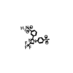 CS(=O)(=O)c1ccc(-n2cc(C(F)(F)F)nc2-c2cccc(S(N)(=O)=O)c2)cc1